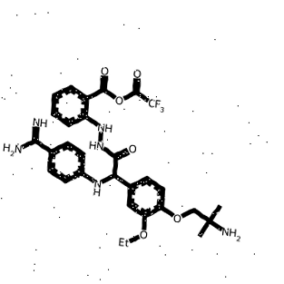 CCOc1cc(C(Nc2ccc(C(=N)N)cc2)C(=O)NNc2ccccc2C(=O)OC(=O)C(F)(F)F)ccc1OCC(C)(C)N